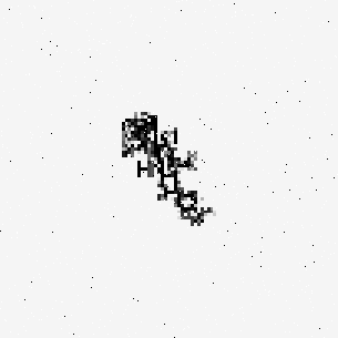 Cc1cc(Nc2ncc(Cl)c(Nc3cn(C)nc3S(=O)(=O)C(C)C)n2)c(OC2CC2)cc1C1CCC(N(C)C)CC1